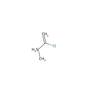 C=C(Cl)[SiH2]C